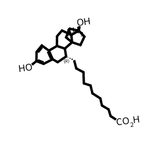 C[C@]12CCC3c4ccc(O)cc4C[C@@H](CCCCCCCCCCC(=O)O)C3C13CCC2(O)CC3